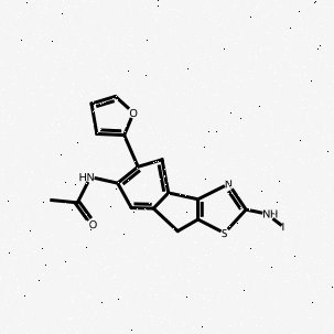 CC(=O)Nc1cc2c(cc1-c1ccco1)-c1nc(NI)sc1C2